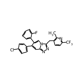 Cc1nc(C(F)(F)F)ccc1Cc1nnc2cc(-c3ccc(Cl)cc3)c(-c3ccccc3F)cn12